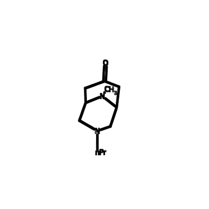 CCCN1CC2CC(=O)CC(C1)N2C